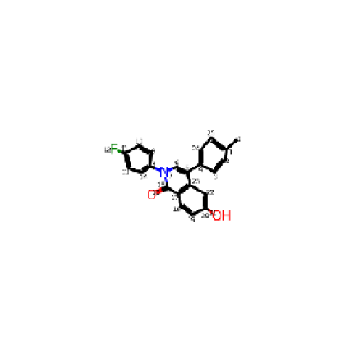 Cc1ccc(-c2cn(-c3ccc(F)cc3)c(=O)c3ccc(O)cc23)cc1